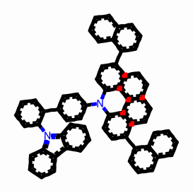 c1ccc(-c2cc(-c3cccc4ccccc34)ccc2N(c2ccc(-c3ccccc3-n3c4ccccc4c4ccccc43)cc2)c2ccc(-c3cccc4ccccc34)cc2-c2ccccc2)cc1